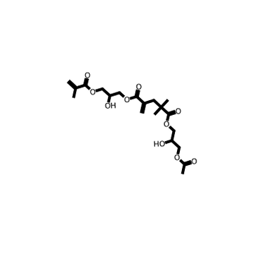 C=C(C)C(=O)OCC(O)COC(=O)C(=C)CC(C)(C)C(=O)OCC(O)COC(C)=O